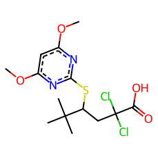 COc1cc(OC)nc(SC(CC(Cl)(Cl)C(=O)O)C(C)(C)C)n1